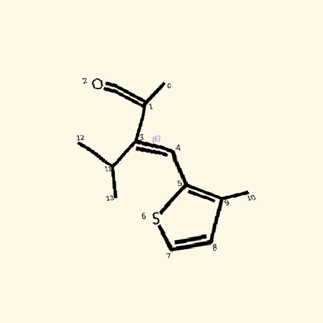 CC(=O)/C(=C/c1sccc1C)C(C)C